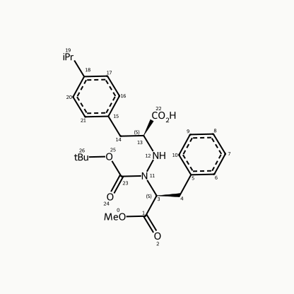 COC(=O)[C@H](Cc1ccccc1)N(N[C@@H](Cc1ccc(C(C)C)cc1)C(=O)O)C(=O)OC(C)(C)C